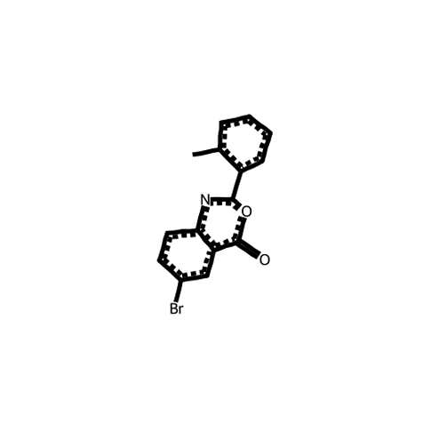 Cc1ccccc1-c1nc2ccc(Br)cc2c(=O)o1